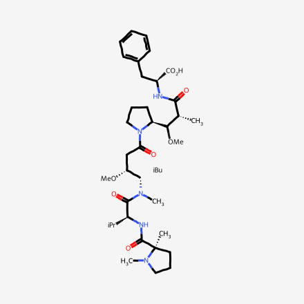 CC[C@H](C)[C@@H]([C@@H](CC(=O)N1CCC[C@H]1C(OC)[C@@H](C)C(=O)N[C@@H](Cc1ccccc1)C(=O)O)OC)N(C)C(=O)[C@@H](NC(=O)[C@@]1(C)CCCN1C)C(C)C